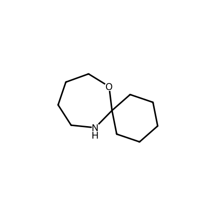 C1CCC2(CC1)NCCCCO2